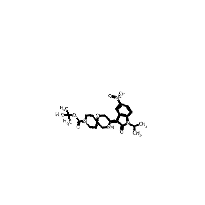 CC(C)N1C(=O)/C(=C2/COC3(CCN(C(=O)OC(C)(C)C)CC3)CN2)c2cc([N+](=O)[O-])ccc21